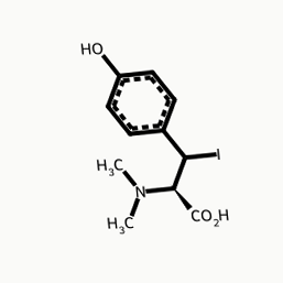 CN(C)[C@H](C(=O)O)C(I)c1ccc(O)cc1